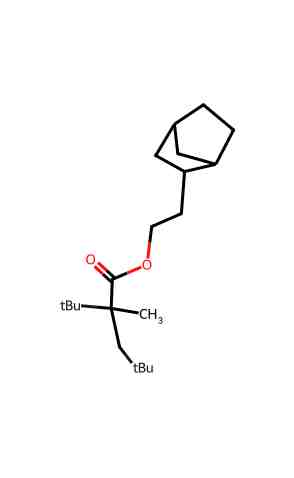 CC(C)(C)CC(C)(C(=O)OCCC1CC2CCC1C2)C(C)(C)C